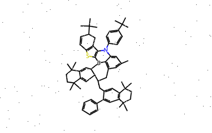 Cc1cc2c3c(c1)N(c1ccc(C(C)(C)C)cc1)c1c(sc4c1CC(C(C)(C)C)C=C4)B3C1C=C3C(=CC1C(Cc1cc4c(cc1-c1ccccc1)C(C)(C)CCC4(C)C)C2)C(C)(C)CCC3(C)C